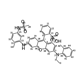 CCN(c1ccc2c(-c3ccccc3S(=O)(=O)O)c3ccc(Nc4cc(NS(C)(=O)=O)ccc4C)cc3[o+]c2c1)c1ccccc1C